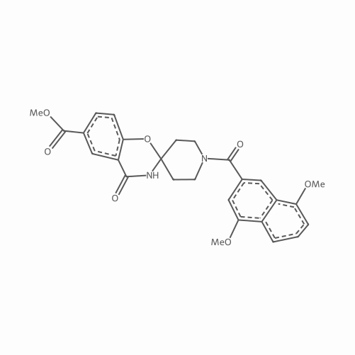 COC(=O)c1ccc2c(c1)C(=O)NC1(CCN(C(=O)c3cc(OC)c4cccc(OC)c4c3)CC1)O2